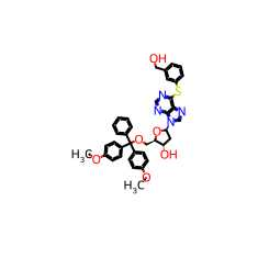 COc1ccc(C(OC[C@H]2O[C@@H](n3cnc4c(Sc5cccc(CO)c5)ncnc43)C[C@@H]2O)(c2ccccc2)c2ccc(OC)cc2)cc1